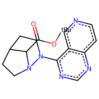 CC(C)(C)OC(=O)C1C2CCN(c3ncnc4ccncc34)N1CC2